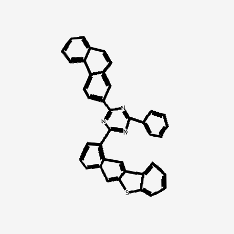 c1ccc(-c2nc(-c3ccc4c(ccc5ccccc54)c3)nc(-c3cccc4cc5sc6ccccc6c5cc34)n2)cc1